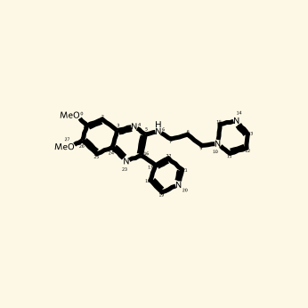 COc1cc2nc(NCCCN3C=CC=NC3)c(-c3ccncc3)nc2cc1OC